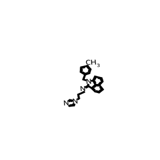 Cc1ccc(CN2/C(=N/CCCn3ccnc3)c3cccc4cccc2c34)cc1